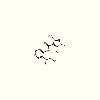 CC(C)CC(C)c1ccccc1NC(=O)c1c(C(F)(F)F)nn(C)c1Cl